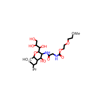 COCCOCCOC(=O)NCC(=O)NC1C(O)C(CC(C)C(C)C)C(C(=O)O)OC1C(O)C(O)CO